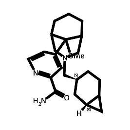 COC1(c2ccnc(C(N)=O)c2)C2CCCC1CN(C[C@H]1CCC3C[C@@H]3C1)C2